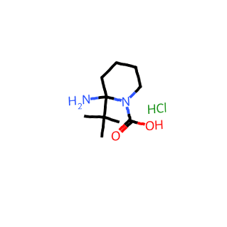 CC(C)(C)C1(N)CCCCN1C(=O)O.Cl